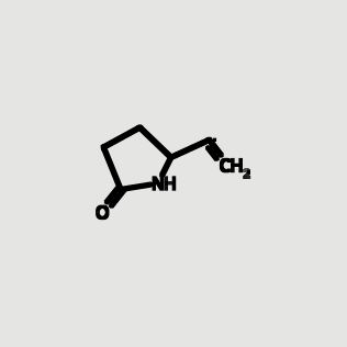 C=[C]C1CCC(=O)N1